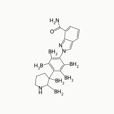 Bc1c(B)c(C2(B)CCCNC2B)c(B)c(B)c1-n1cc2cccc(C(N)=O)c2n1